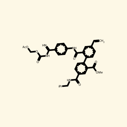 C=Cc1ccc(-c2ccc(C(=O)NCC(C)C)cc2C(=O)OC)c(C(=O)Nc2ccc(C(=N)NC(=O)OCOC(C)=O)cc2)c1